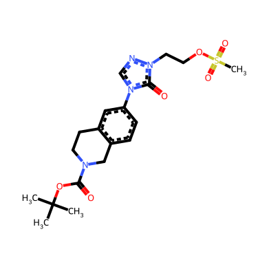 CC(C)(C)OC(=O)N1CCc2cc(-n3cnn(CCOS(C)(=O)=O)c3=O)ccc2C1